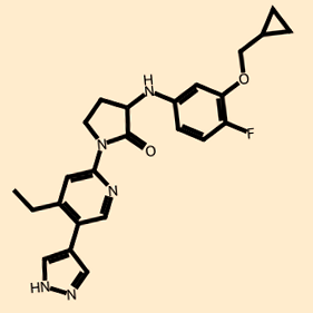 CCc1cc(N2CCC(Nc3ccc(F)c(OCC4CC4)c3)C2=O)ncc1-c1cn[nH]c1